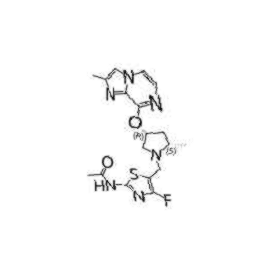 CC(=O)Nc1nc(F)c(CN2C[C@H](Oc3nccn4cc(C)nc34)C[C@@H]2C)s1